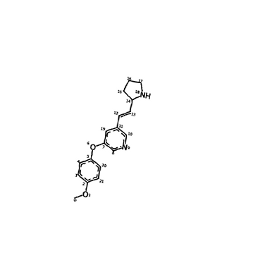 COc1ccc(Oc2cncc(C=CC3CCCN3)c2)cc1